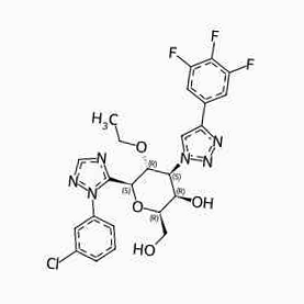 CCO[C@@H]1[C@@H](n2cc(-c3cc(F)c(F)c(F)c3)nn2)[C@@H](O)[C@@H](CO)O[C@H]1c1ncnn1-c1cccc(Cl)c1